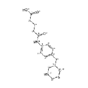 O=C(O)CCCC(=O)Nc1ccc(CC2CNCCO2)cc1